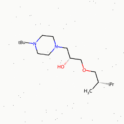 CC(C)[C@H](C)COC[C@H](O)CN1CCN(C(C)(C)C)CC1